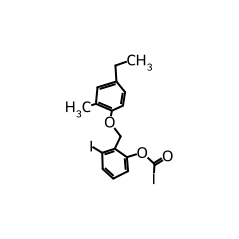 CCc1ccc(OCc2c(I)cccc2OC(=O)I)c(C)c1